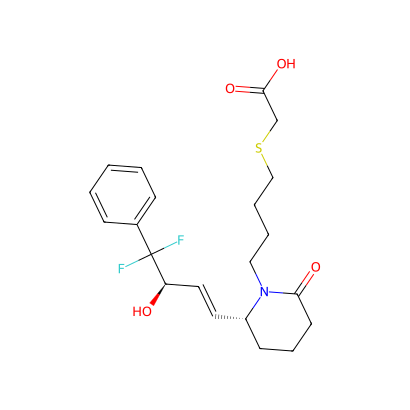 O=C(O)CSCCCCN1C(=O)CCC[C@@H]1/C=C/[C@@H](O)C(F)(F)c1ccccc1